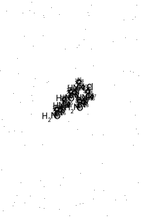 CCc1nc(N[C@H](CN2CCC2)c2ccccc2)c2cccc(C(N)=O)c2n1.Cc1nc(N[C@H](CN2CCC2)c2ccc(Cl)cc2)c2cccc(C(N)=O)c2n1.Cc1nc(N[C@H](CN2CCC2)c2ccccc2)c2cccc(C(N)=O)c2n1